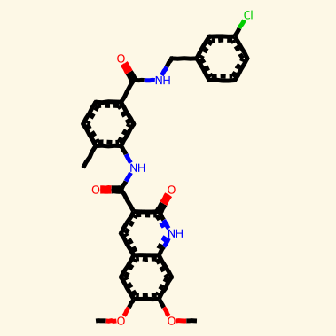 COc1cc2cc(C(=O)Nc3cc(C(=O)NCc4cccc(Cl)c4)ccc3C)c(=O)[nH]c2cc1OC